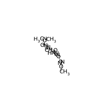 CCCOCc1ncc(-c2ccn3nc(NC(=O)[C@H]4C[C@@H](N5CCN(C(=O)c6cc(C)nc(C)c6)C[C@@H]5C)C4)cc3c2)cn1